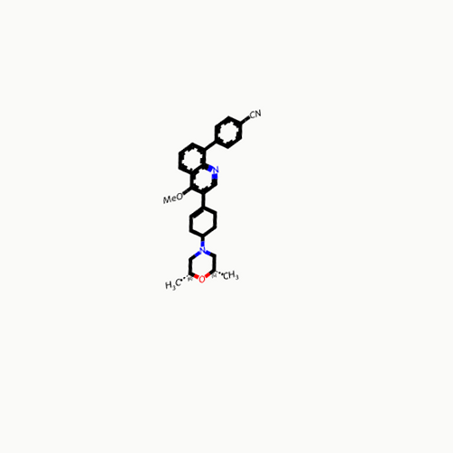 COc1c(C2=CCC(N3C[C@@H](C)O[C@@H](C)C3)CC2)cnc2c(-c3ccc(C#N)cc3)cccc12